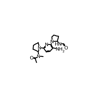 CC(=O)N(C)C1CCCN1c1ccc(N)c(N2CCCC2NC=O)n1